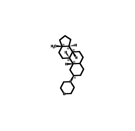 C[C@@]12CCC[C@H]1[C@@H]1CCC3CC[C@@H](N4CCOCC4)C[C@@H]3[C@H]1CC2